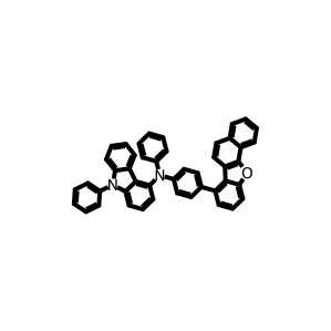 c1ccc(N(c2ccc(-c3cccc4oc5c6ccccc6ccc5c34)cc2)c2cccc3c2c2ccccc2n3-c2ccccc2)cc1